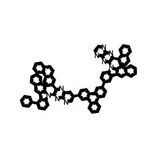 c1ccc(-c2cccc3c2c2cc4ccccc4cc2n3-c2nc3ncc(-c4ccc5c(c4)c4ccccc4c4ccc(-c6ccc7c(c6)c6cc8ccccc8cc6n7-c6nc7nccnc7nc6-c6cccc7ccccc67)cc45)cc3nc2-c2ccc3c(ccc4ccccc43)c2)cc1